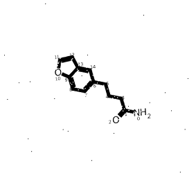 NC(=O)CCCc1ccc2occc2c1